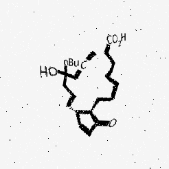 C=C=CC(O)(CC=C[C@H]1C=CC(=O)[C@@H]1C/C=C\CCCC(=O)O)CCCC